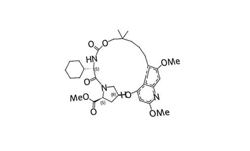 COC(=O)[C@@H]1C[C@@H]2CN1C(=O)[C@H](C1CCCCC1)NC(=O)OCC(C)(C)CCCc1cc3c(cc(OC)nc3cc1OC)O2